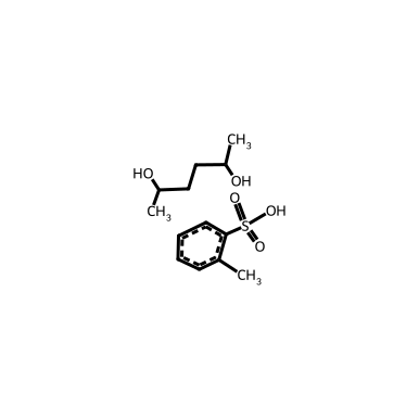 CC(O)CCC(C)O.Cc1ccccc1S(=O)(=O)O